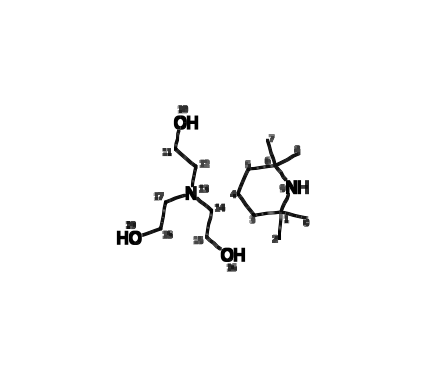 CC1(C)CCCC(C)(C)N1.OCCN(CCO)CCO